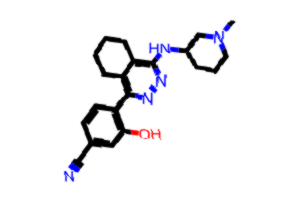 CN1CCCC(Nc2nnc(-c3ccc(C#N)cc3O)c3c2CCCC3)C1